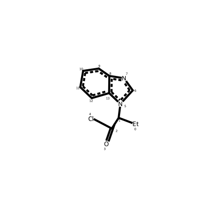 CCC(C(=O)Cl)n1cnc2ccccc21